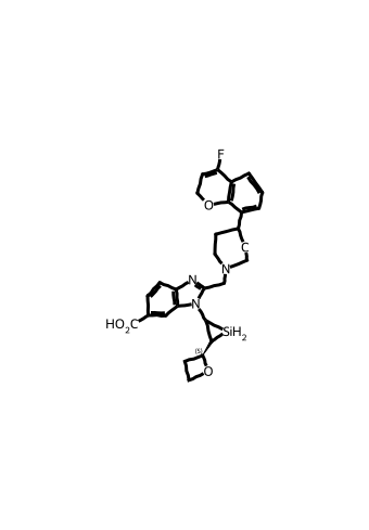 O=C(O)c1ccc2nc(CN3CCC(c4cccc5c4OCC=C5F)CC3)n(C3[SiH2]C3[C@@H]3CCO3)c2c1